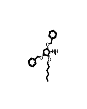 CCCCCCO[C@@H]1[C@@H](NC)[C@H](OCc2ccccc2)C[C@@H]1OCc1ccccc1